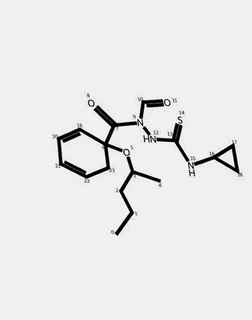 CCCC(C)OC1(C(=O)N(C=O)NC(=S)NC2CC2)C=CC=CC1